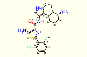 Cn1ncc(NC(=O)c2nc(-c3c(F)cccc3F)sc2N)c1[C@@H]1CCC[C@H](N)C1